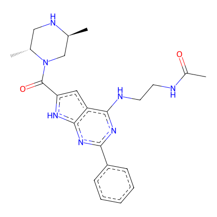 CC(=O)NCCNc1nc(-c2ccccc2)nc2[nH]c(C(=O)N3C[C@H](C)NC[C@H]3C)cc12